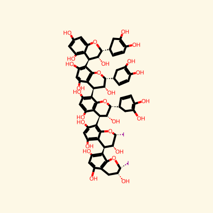 OC1=C(O)CC([C@H]2Oc3c(c(O)cc(O)c3[C@H]3c4c(O)cc(O)c([C@H]5c6c(O)cc(O)cc6O[C@H](C6C=CC(O)=C(O)C6)[C@@H]5O)c4O[C@H](C4C=CC(O)=C(O)C4)[C@@H]3O)[C@H](c3c(O)cc(O)c4c3O[C@H](I)[C@H](O)[C@H]4c3c(O)cc(O)c4c3O[C@H](I)[C@H](O)C4)[C@H]2O)C=C1